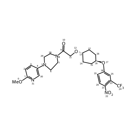 COc1ccc(N2CCN(C(=O)CO[C@H]3CC[C@H](Oc4ccc([N+](=O)[O-])c(C(F)(F)F)c4)CC3)CC2)cn1